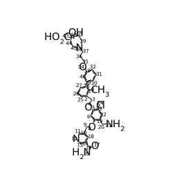 Cc1c(COc2cc(OCc3cncc(C(N)=O)c3)c(CN)cc2Cl)cccc1-c1cccc(OCCCN2CCC(O)(C(=O)O)CC2)c1